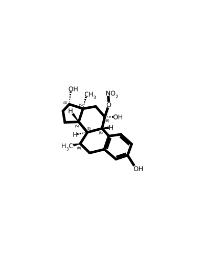 C[C@@H]1Cc2cc(O)ccc2[C@@H]2[C@@H]1[C@@H]1CC[C@H](O)[C@@]1(C)C[C@@]2(O)O[N+](=O)[O-]